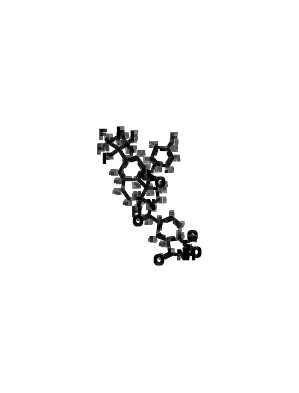 O=C1NS(=O)(=O)c2ccc(C(=O)N3CC[C@@]4(S(=O)(=O)c5ccc(F)cc5)c5ccc(C(F)(C(F)(F)F)C(F)(F)F)cc5CC[C@@H]34)cc21